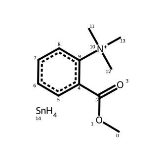 COC(=O)c1ccccc1[N+](C)(C)C.[SnH4]